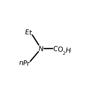 [CH2]CN(CCC)C(=O)O